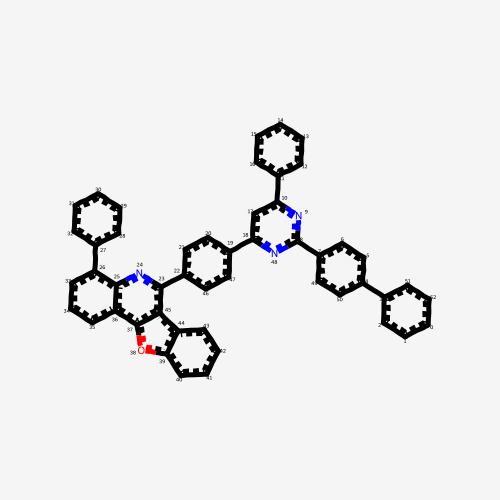 c1ccc(-c2ccc(-c3nc(-c4ccccc4)cc(-c4ccc(-c5nc6c(-c7ccccc7)cccc6c6oc7ccccc7c56)cc4)n3)cc2)cc1